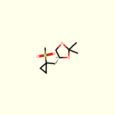 CC1(C)OC[C@@H](CC2(S(C)(=O)=O)CC2)O1